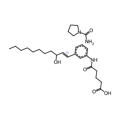 CCCCCCCCC(O)/C=C/c1cccc(NC(=O)CCCC(=O)O)c1.NC(=O)N1CCCC1